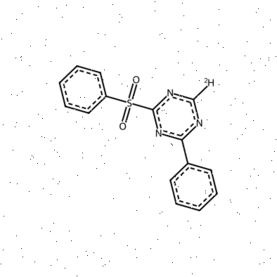 [2H]c1nc(-c2ccccc2)nc(S(=O)(=O)c2ccccc2)n1